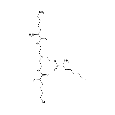 NCCCCC(N)C(=O)NCCN(CCNC(=O)C(N)CCCCN)CCNC(=O)C(N)CCCCN